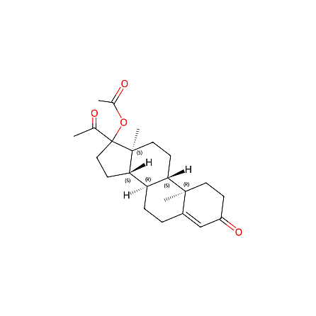 CC(=O)OC1(C(C)=O)CC[C@H]2[C@@H]3CCC4=CC(=O)CC[C@]4(C)[C@H]3CC[C@@]21C